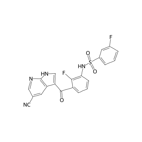 N#Cc1cnc2[nH]cc(C(=O)c3cccc(NS(=O)(=O)c4cccc(F)c4)c3F)c2c1